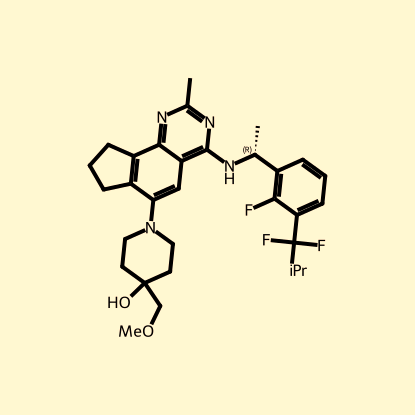 COCC1(O)CCN(c2cc3c(N[C@H](C)c4cccc(C(F)(F)C(C)C)c4F)nc(C)nc3c3c2CCC3)CC1